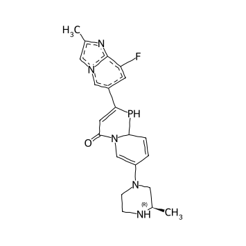 Cc1cn2cc(C3=CC(=O)N4C=C(N5CCN[C@H](C)C5)C=CC4P3)cc(F)c2n1